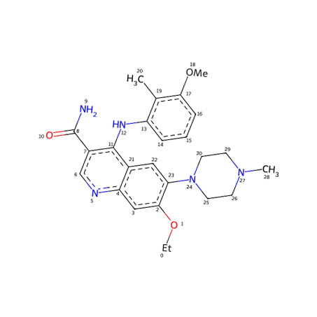 CCOc1cc2ncc(C(N)=O)c(Nc3cccc(OC)c3C)c2cc1N1CCN(C)CC1